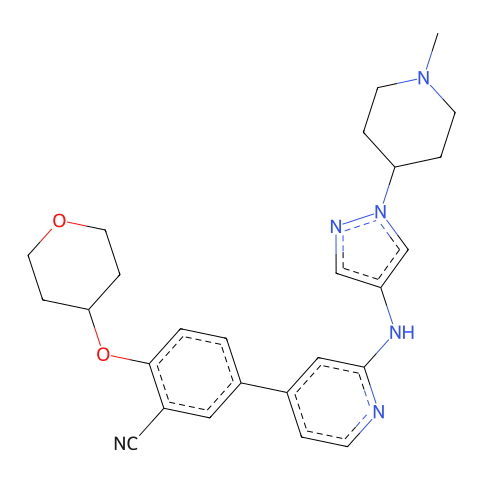 CN1CCC(n2cc(Nc3cc(-c4ccc(OC5CCOCC5)c(C#N)c4)ccn3)cn2)CC1